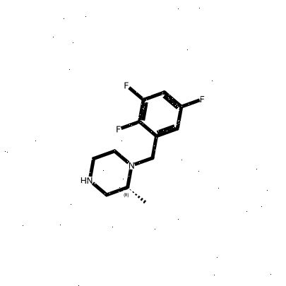 C[C@@H]1CNCCN1Cc1cc(F)cc(F)c1F